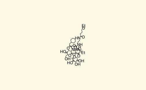 CCOCCCC(=O)NCCNC(=O)C1CC(CC)[C@@H](OC2O[C@@H](C)[C@H](O)C(O)[C@@H]2O)[C@H](O[C@@H]2OC(CO)[C@H](O)C(O[C@@H](CC3CCCCC3)C(=O)O)C2NC(C)=O)C1